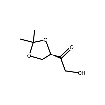 CC1(C)OC[C@H](C(=O)CO)O1